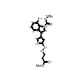 COC(=O)CCOSc1cc(-c2cn(C(=O)OC(C)(C)C)c3c(F)cccc23)cs1